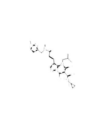 CC(C)Cn1c(=O)c(C(=O)NC2CC2)c(O)n2ncc(/C=C/C(=O)N(C)Cc3ccn(C)n3)c12